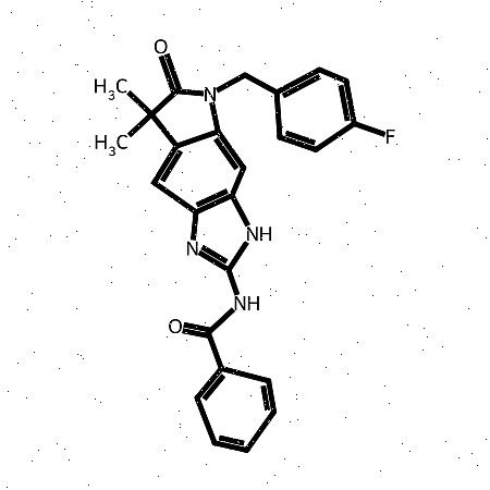 CC1(C)C(=O)N(Cc2ccc(F)cc2)c2cc3[nH]c(NC(=O)c4ccccc4)nc3cc21